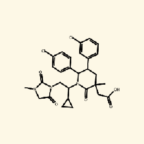 CN1CC(=O)N(CC(C2CC2)N2C(=O)C(C)(CC(=O)O)CC(c3cccc(Cl)c3)C2c2ccc(Cl)cc2)C1=O